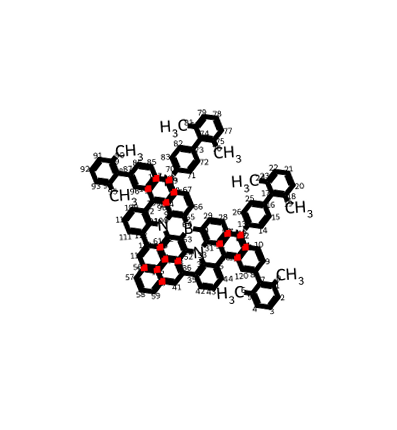 Cc1cccc(C)c1-c1ccc(N(c2ccc(-c3c(C)cccc3C)cc2)c2ccc3c(c2)N(c2c(-c4ccccc4)cccc2-c2ccccc2)c2cc(-c4ccccc4)cc4c2B3c2ccc(N(c3ccc(-c5c(C)cccc5C)cc3)c3ccc(-c5c(C)cccc5C)cc3)cc2N4c2c(-c3ccccc3)cccc2-c2ccccc2)cc1